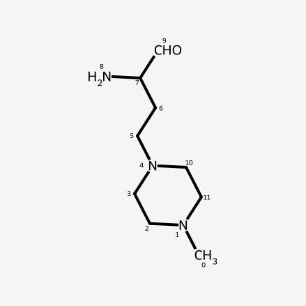 CN1CCN(CCC(N)C=O)CC1